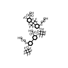 COc1ccc(C(c2ccc(OC3(F)C(F)(F)C(F)(F)C3(F)Oc3ccc(-c4ccc(OC5(F)C(C)(F)C(F)(F)C5(F)F)c(SOOO)c4)cc3S(=O)(=O)O)c(SOOO)c2)(C(F)(F)F)C(F)(F)F)cc1S(=O)(=O)O